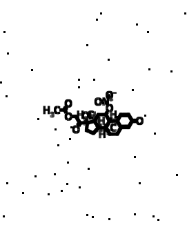 CC(=O)OCC(=O)[C@@]1(O)CC[C@H]2[C@@H]3CCC4=CC(=O)C=C[C@]4(C)[C@H]3C(O[N+](=O)[O-])C[C@@]21C